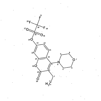 CCc1c(N2CCOCC2)c2ccc(OS(=O)(=O)C(F)(F)F)cc2oc1=O